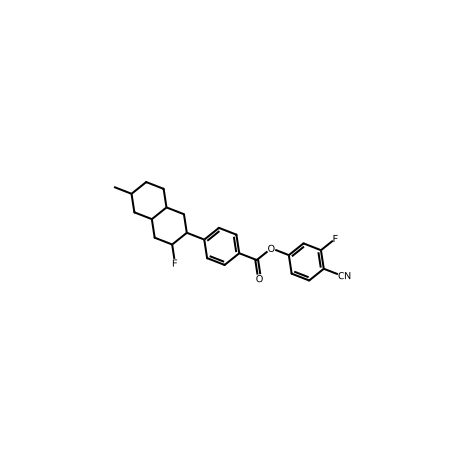 CC1CCC2CC(c3ccc(C(=O)Oc4ccc(C#N)c(F)c4)cc3)C(F)CC2C1